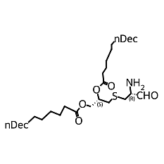 CCCCCCCCCCCCCCCC(=O)OC[C@@H](CSC[C@H](N)C=O)OC(=O)CCCCCCCCCCCCCCC